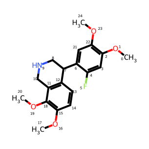 COc1cc(F)c(C2CNCc3c2ccc(OC)c3OC)cc1OC